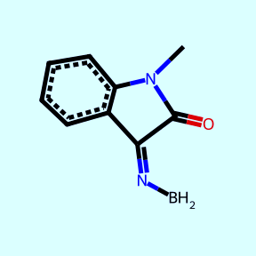 BN=C1C(=O)N(C)c2ccccc21